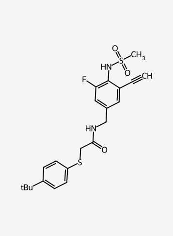 C#Cc1cc(CNC(=O)CSc2ccc(C(C)(C)C)cc2)cc(F)c1NS(C)(=O)=O